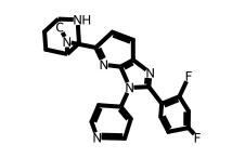 Fc1ccc(-c2nc3ccc(N4CC5CCC4CN5)nc3n2-c2ccncc2)c(F)c1